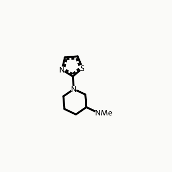 CNC1CCCN(c2nccs2)C1